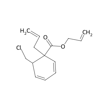 C=CCOC(=O)C1(CC=C)C=CC=CC1CCl